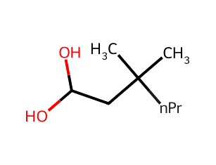 CCCC(C)(C)CC(O)O